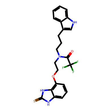 O=C(N(CCCc1c[nH]c2ccccc12)CCOc1cccc2[nH]c(=S)[nH]c12)C(F)(F)F